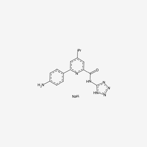 CC(C)c1cc(C(=O)Nc2nnn[nH]2)nc(-c2ccc(N)cc2)c1.[NaH]